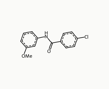 COc1cccc(NC(=O)c2ccc(Cl)cc2)c1